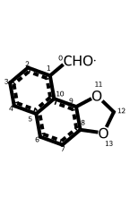 O=[C]c1cccc2ccc3c(c12)OCO3